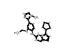 CCOc1cc(-c2nncn2C)ccc1Nc1ncc2ccc(C3CCCC3)n2n1